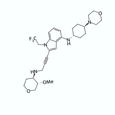 CO[C@@H]1COCC[C@H]1NCC#Cc1cc2c(N[C@H]3CC[C@H](N4CCOCC4)CC3)cccc2n1CC(F)(F)F